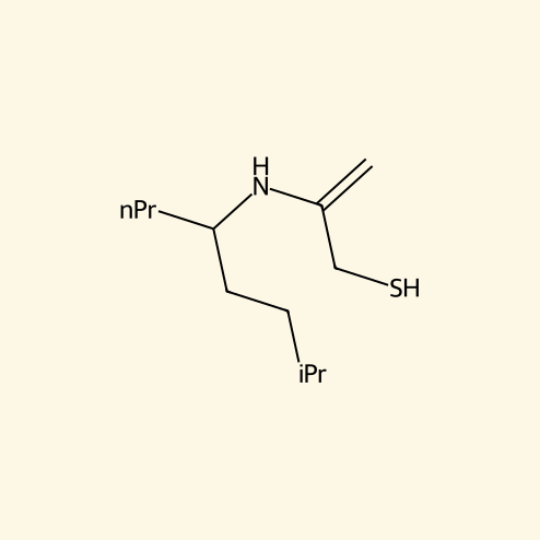 C=C(CS)NC(CCC)CCC(C)C